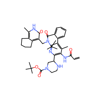 C=CC(=O)Nc1c(C2CN(C(=O)OC(C)(C)C)CCN2)ncc(-c2ccccc2C(=O)N(Cc2c3c(c(C)[nH]c2=O)CCCC3)C(C)(C)C)c1C